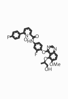 COc1ccc2ncnc(Oc3ccc(NC(=O)c4cccc(-c5ccc(F)cc5)[n+]4[O-])cc3F)c2c1OC(C)CO